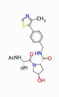 CCC[C@H](NC(C)=O)C(=O)N1C[C@H](O)C[C@H]1C(=O)NCc1ccc(-c2scnc2C)cc1